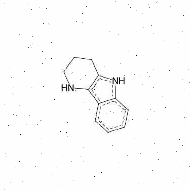 c1ccc2c3c([nH]c2c1)CCCN3